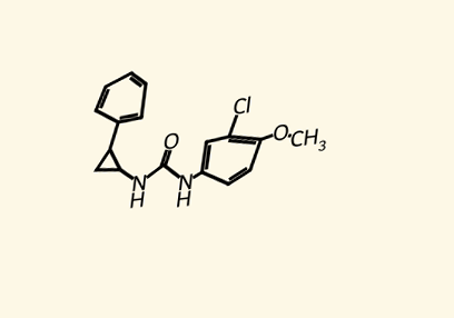 COc1ccc(NC(=O)NC2CC2c2ccccc2)cc1Cl